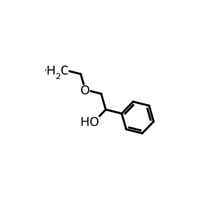 [CH2]COCC(O)c1ccccc1